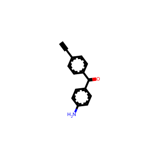 C#Cc1ccc(C(=O)c2ccc(N)cc2)cc1